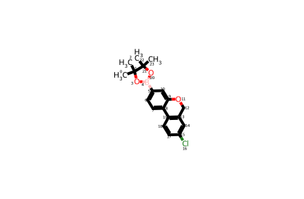 CC1(C)OB(c2ccc3c(c2)OCc2cc(Cl)ccc2-3)OC1(C)C